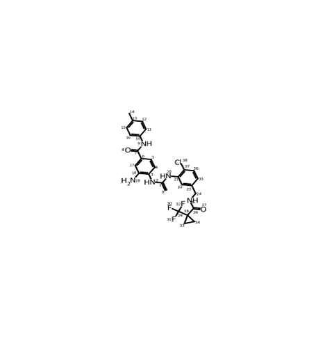 C=C(Nc1ccc(C(=O)Nc2ccc(C)cc2)cc1N)Nc1cc(CNC(=O)C2(C(F)(F)F)CC2)ccc1Cl